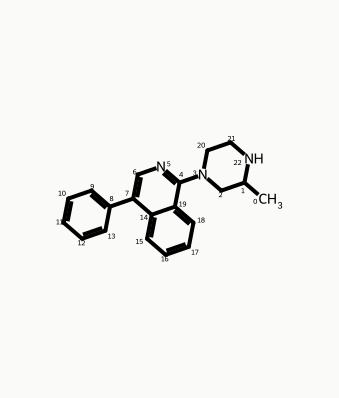 CC1CN(c2ncc(-c3ccccc3)c3ccccc23)CCN1